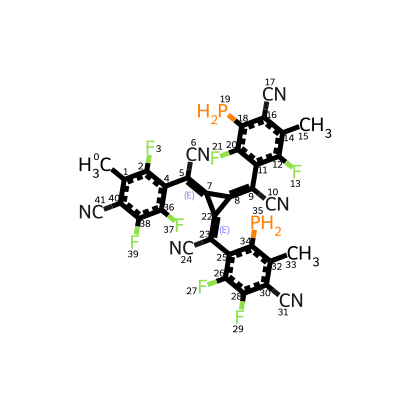 Cc1c(F)c(/C(C#N)=C2/C(=C(C#N)c3c(F)c(C)c(C#N)c(P)c3F)/C2=C(/C#N)c2c(F)c(F)c(C#N)c(C)c2P)c(F)c(F)c1C#N